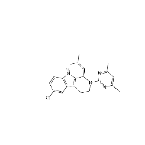 CC(C)=C[C@@H]1c2[nH]c3ccc(Cl)cc3c2CCN1c1nc(C)cc(C)n1